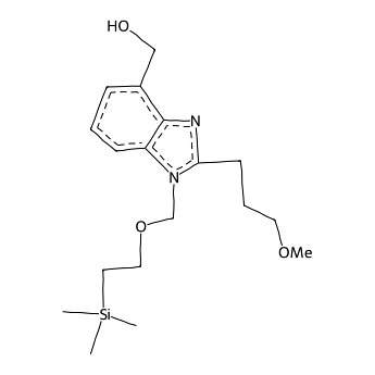 COCCCc1nc2c(CO)cccc2n1COCC[Si](C)(C)C